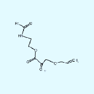 C=CCOCC(=C)C(=O)OCCNC(=O)CC